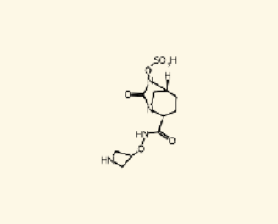 O=C(NOC1CNC1)[C@@H]1CC[C@@H]2CN1C(=O)N2OS(=O)(=O)O